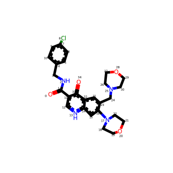 O=C(NCc1ccc(Cl)cc1)c1c[nH]c2cc(N3CCOCC3)c(CN3CCOCC3)cc2c1=O